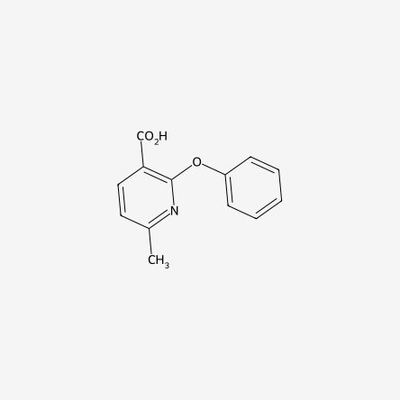 Cc1ccc(C(=O)O)c(Oc2ccccc2)n1